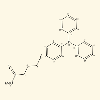 COC(=O)CCCBr.c1ccc(P(c2ccccc2)c2ccccc2)cc1